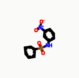 O=[N+]([O-])c1cccc(NS(=O)(=O)c2ccccc2)c1